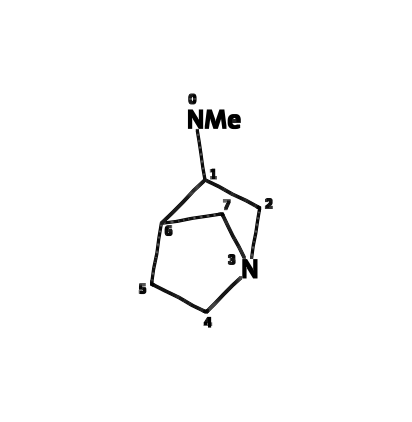 CNC1CN2CCC1C2